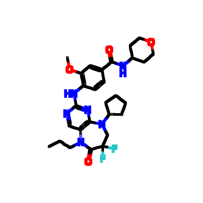 CCCN1C(=O)C(F)(F)CN(C2CCCC2)c2nc(Nc3ccc(C(=O)NC4CCOCC4)cc3OC)ncc21